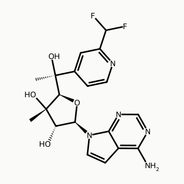 C[C@]1(O)[C@@H](O)[C@H](n2ccc3c(N)ncnc32)O[C@@H]1[C@@](C)(O)c1ccnc(C(F)F)c1